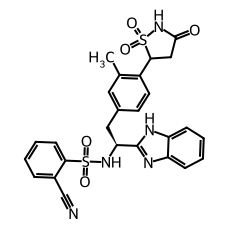 Cc1cc(C[C@H](NS(=O)(=O)c2ccccc2C#N)c2nc3ccccc3[nH]2)ccc1C1CC(=O)NS1(=O)=O